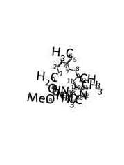 C=C/C=C\C(=C/C)CCC(C)/C=C(C(=O)NNC(=O)OC)\C(C)=N/C